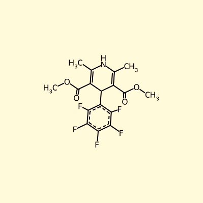 COC(=O)C1=C(C)NC(C)=C(C(=O)OC)C1c1c(F)c(F)c(F)c(F)c1F